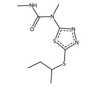 CCC(C)Sc1nnc(N(C)C(=O)NC)s1